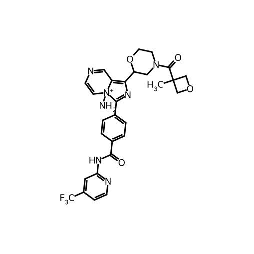 CC1(C(=O)N2CCOC(C3=C4C=NC=C[N+]4(N)C(c4ccc(C(=O)Nc5cc(C(F)(F)F)ccn5)cc4)=N3)C2)COC1